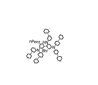 CCCCCc1cc(-c2ccc(N(c3ccc(-c4ccccc4)cc3)c3ccc(-c4ccccc4)cc3)cc2Nc2cccc(-c3ccccc3)c2)c2c(c1)N(c1cccc(-c3ccccc3)c1)c1cc(-c3ccccc3)ccc1B2